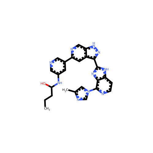 CCCC(O)Nc1cncc(-c2cc3c(-c4nc5c(-n6cnc(C)c6)nccc5[nH]4)n[nH]c3cn2)c1